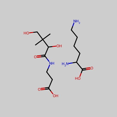 CC(C)(CO)C(O)C(=O)NCCC(=O)O.NCCCCC(N)C(=O)O